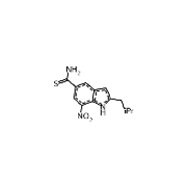 CC(C)Cc1cc2cc(C(N)=S)cc([N+](=O)[O-])c2[nH]1